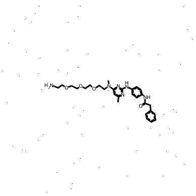 Cc1cc(N(C)CCOCCOCCOCCN)nc(Nc2ccc(NC(=O)Cc3ccccc3)cc2)n1